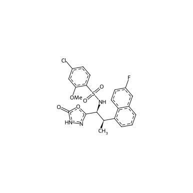 COc1cc(Cl)ccc1S(=O)(=O)N[C@H](c1n[nH]c(=O)o1)[C@H](C)c1cccc2cc(F)ccc12